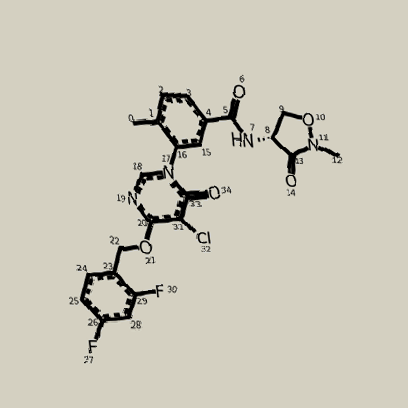 Cc1ccc(C(=O)N[C@@H]2CON(C)C2=O)cc1-n1cnc(OCc2ccc(F)cc2F)c(Cl)c1=O